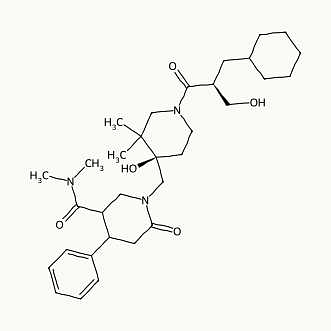 CN(C)C(=O)C1CN(C[C@@]2(O)CCN(C(=O)[C@H](CO)CC3CCCCC3)CC2(C)C)C(=O)CC1c1ccccc1